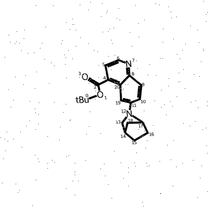 CC(C)(C)OC(=O)c1ccnc2ccc(N3CC4CCC3C4)cc12